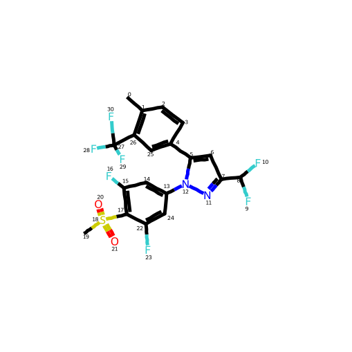 Cc1ccc(-c2cc(C(F)F)nn2-c2cc(F)c(S(C)(=O)=O)c(F)c2)cc1C(F)(F)F